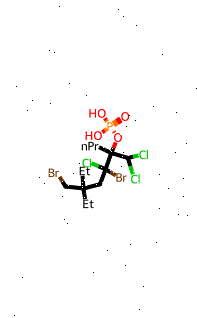 CCCC(OP(=O)(O)O)(C(Cl)Cl)C(Cl)(Br)CC(CC)(CC)CBr